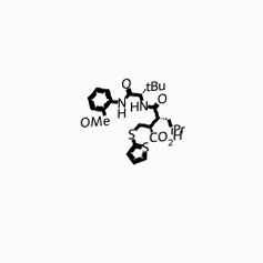 COc1ccccc1NC(=O)[C@@H](NC(=O)[C@H](CC(C)C)[C@H](CSc1cccs1)C(=O)O)C(C)(C)C